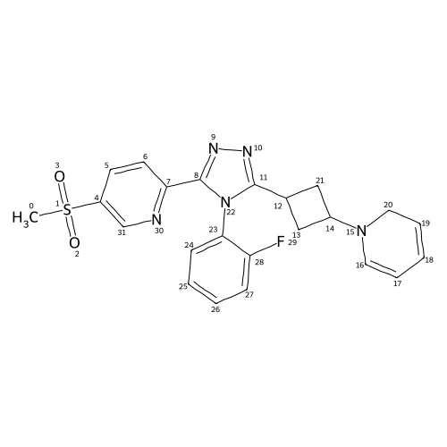 CS(=O)(=O)c1ccc(-c2nnc(C3CC(N4C=CC=CC4)C3)n2-c2ccccc2F)nc1